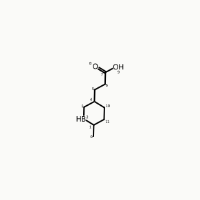 CC1BCC(CCC(=O)O)CC1